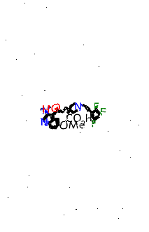 COc1ccc2ncc(N(C)C)c(C(O)CCC3(CC(=O)O)CCN(CC#Cc4cc(F)cc(F)c4F)CC3)c2c1